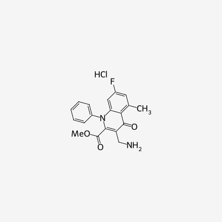 COC(=O)c1c(CN)c(=O)c2c(C)cc(F)cc2n1-c1ccccc1.Cl